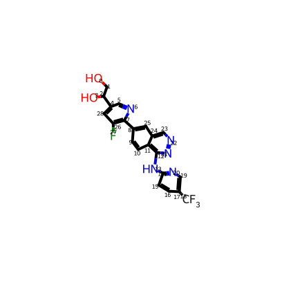 OCC(O)c1cnc(-c2ccc3c(Nc4ccc(C(F)(F)F)cn4)nncc3c2)c(F)c1